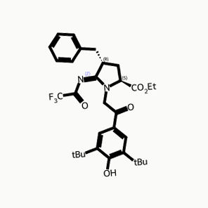 CCOC(=O)[C@@H]1C[C@@H](Cc2ccccc2)/C(=N/C(=O)C(F)(F)F)N1CC(=O)c1cc(C(C)(C)C)c(O)c(C(C)(C)C)c1